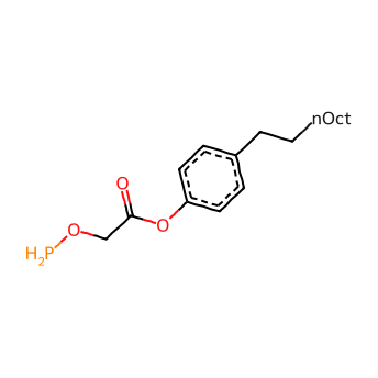 CCCCCCCCCCc1ccc(OC(=O)COP)cc1